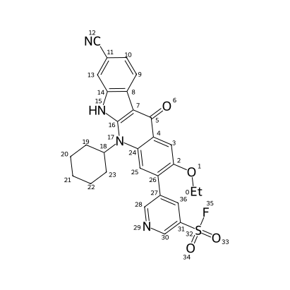 CCOc1cc2c(=O)c3c4ccc(C#N)cc4[nH]c3n(C3CCCCC3)c2cc1-c1cncc(S(=O)(=O)F)c1